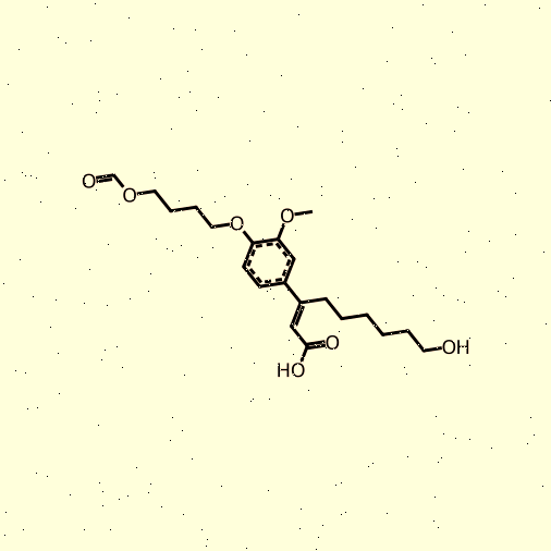 COc1cc(/C(=C/C(=O)O)CCCCCCO)ccc1OCCCCOC=O